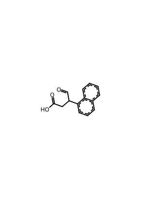 O=CC(CC(=O)O)c1cccc2ccccc12